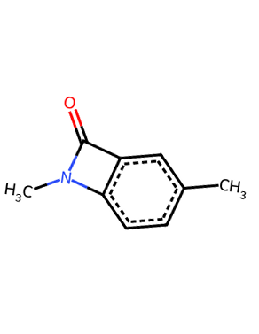 Cc1ccc2c(c1)C(=O)N2C